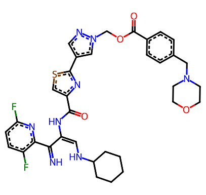 N=C(/C(=C\NC1CCCCC1)NC(=O)c1csc(-c2cnn(COC(=O)c3ccc(CN4CCOCC4)cc3)c2)n1)c1nc(F)ccc1F